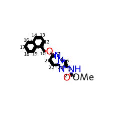 COC(=O)Nc1cn2nc(OCc3cccc4ccccc34)ccc2n1